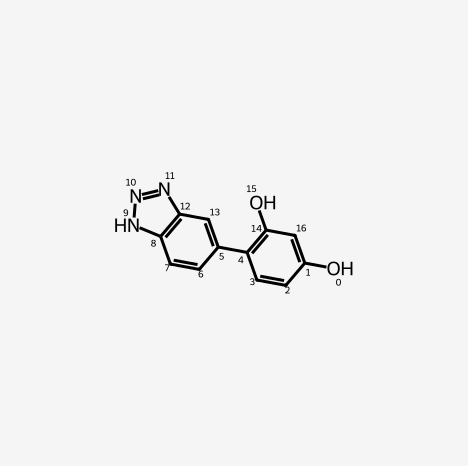 Oc1ccc(-c2ccc3[nH]nnc3c2)c(O)c1